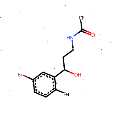 [2H]c1ccc(Br)cc1C(O)CCNC(=O)C(F)(F)F